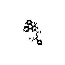 Cc1cccc(-c2c(-c3ccncc3)nc(NCCC(N)c3ccccc3)n(C)c2=O)c1